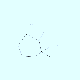 CC1(C(=O)[O-])CCCCC1C(=O)[O-].[Mg+2]